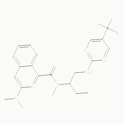 CCC(CNc1ncc(C(F)(F)F)cn1)N(C)C(=O)c1nc(N(C)C)cc2ccccc12